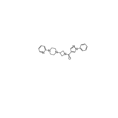 O=C(c1cnn(-c2ccccc2)c1)N1CC(N2CCN(c3ccccn3)CC2)C1